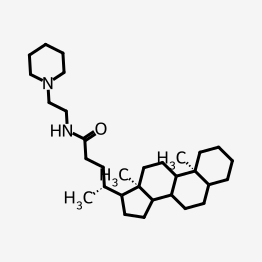 C[C@H](CCC(=O)NCCN1CCCCC1)C1CCC2C3CCC4CCCC[C@]4(C)C3CC[C@@]21C